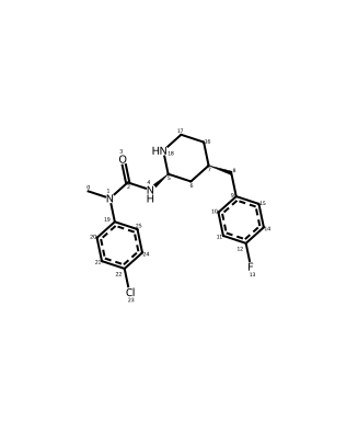 CN(C(=O)N[C@@H]1C[C@H](Cc2ccc(F)cc2)CCN1)c1ccc(Cl)cc1